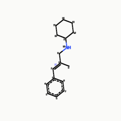 C/C(=C\c1ccccc1)CNC1CCCCC1